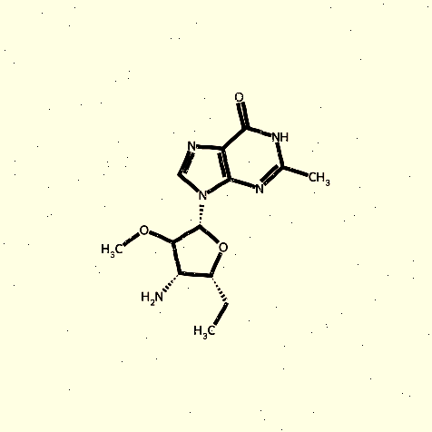 CC[C@H]1O[C@@H](n2cnc3c(=O)[nH]c(C)nc32)C(OC)[C@H]1N